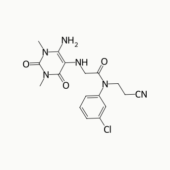 Cn1c(N)c(NCC(=O)N(CCC#N)c2cccc(Cl)c2)c(=O)n(C)c1=O